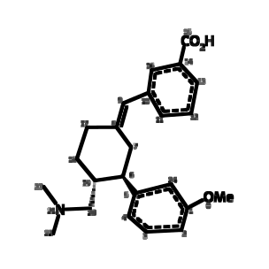 COc1cccc([C@@H]2CC(=Cc3cccc(C(=O)O)c3)CC[C@H]2CN(C)C)c1